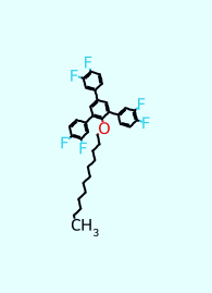 CCCCCCCCCCCCOc1c(-c2ccc(F)c(F)c2)cc(-c2ccc(F)c(F)c2)cc1-c1ccc(F)c(F)c1